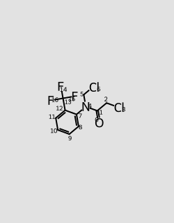 O=C(CCl)N(CCl)c1ccccc1C(F)(F)F